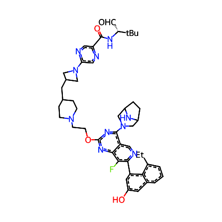 CCc1cccc2cc(O)cc(-c3ncc4c(N5CC6CCC(C5)N6)nc(OCCN5CCC(CC6CN(c7cnc(C(=O)N[C@H](C=O)C(C)(C)C)cn7)C6)CC5)nc4c3F)c12